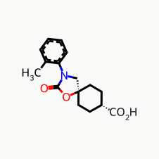 Cc1ccccc1N1C[C@]2(CC[C@@H](C(=O)O)CC2)OC1=O